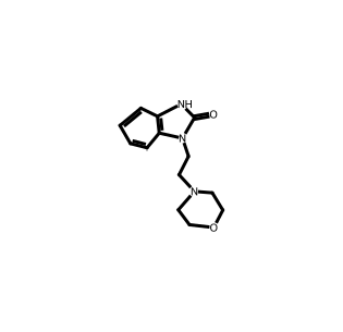 O=c1[nH]c2ccc[c]c2n1CCN1CCOCC1